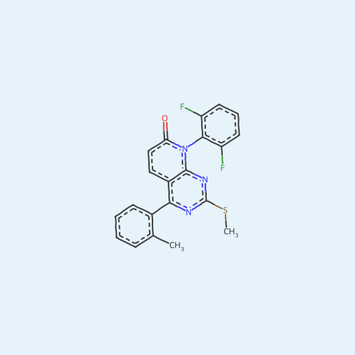 CSc1nc(-c2ccccc2C)c2ccc(=O)n(-c3c(F)cccc3F)c2n1